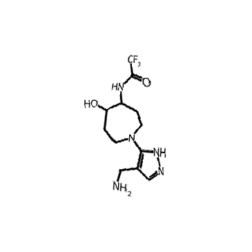 NCc1cn[nH]c1N1CCC(O)C(NC(=O)C(F)(F)F)CC1